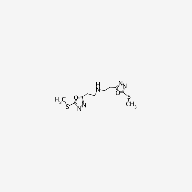 CSc1nnc(CCNCCc2nnc(SC)o2)o1